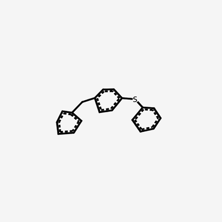 c1ccc(Cc2ccc(Sc3ccccc3)cc2)cc1